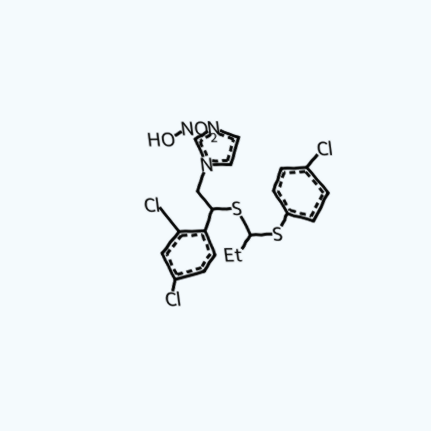 CCC(Sc1ccc(Cl)cc1)SC(Cn1ccnc1)c1ccc(Cl)cc1Cl.O=[N+]([O-])O